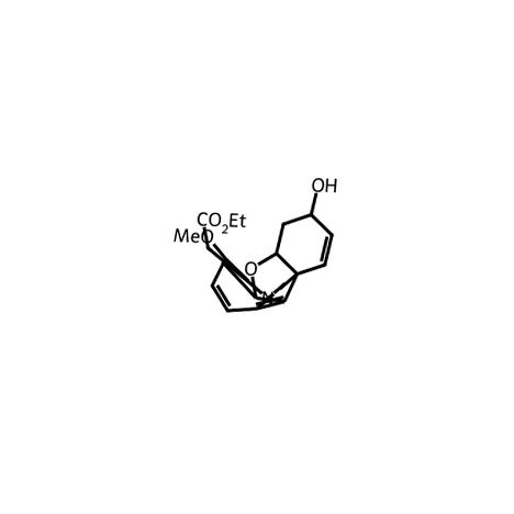 CCOC(=O)CN1CCC23C=CC(O)CC2Oc2c(OC)ccc(c23)C1